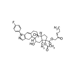 CCSC(=O)COC(=O)C1(OC(C)=O)CC[C@H]2C3CCC4=Cc5c(cnn5-c5ccc(F)cc5)CC4(C)[C@H]3C(O)CC21C